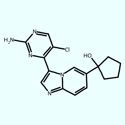 Nc1ncc(Cl)c(-c2cnc3ccc(C4(O)CCCC4)cn23)n1